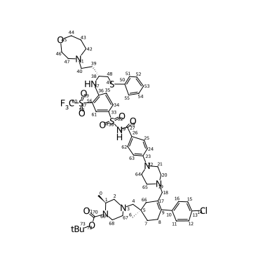 C[C@H]1CN(C[C@]2(C)CCC(c3ccc(Cl)cc3)=C(CN3CCN(c4ccc(C(=O)NS(=O)(=O)c5ccc(N[C@H](CCN6CCCOCC6)CSc6ccccc6)c(S(=O)(=O)C(F)(F)F)c5)cc4)CC3)C2)CCN1C(=O)OC(C)(C)C